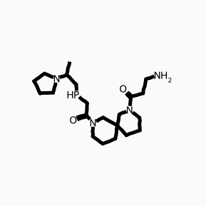 CC(CPCC(=O)N1CCCC2(CCCN(C(=O)CCN)C2)C1)N1CCCC1